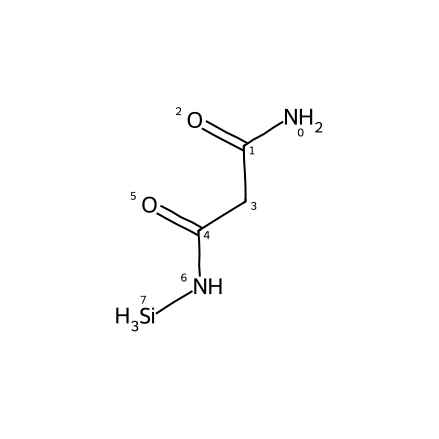 NC(=O)CC(=O)N[SiH3]